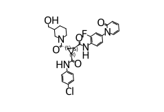 O=C(Nc1ccc(Cl)cc1)[C@@H]1[C@H](C(=O)Nc2ccc(-n3ccccc3=O)cc2F)[C@H]1C(=O)N1CCCC(CO)C1